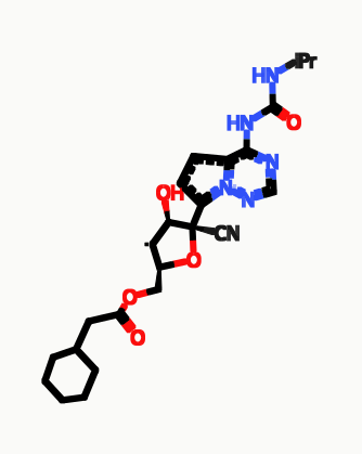 CC(C)NC(=O)Nc1ncnn2c([C@]3(C#N)O[C@@H](COC(=O)CC4CCCCC4)[CH][C@H]3O)ccc12